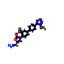 Cc1cc(-c2ccc(-c3nnnn3C)nc2)ccc1N1C[C@H](CN)OC1=O